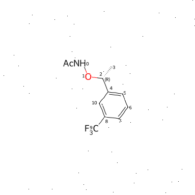 CC(=O)NO[C@H](C)c1cccc(C(F)(F)F)c1